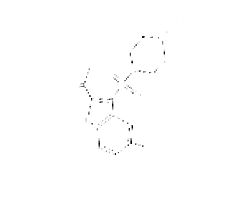 CC(=O)c1[nH]c2ccc(Cl)cc2c1S(=O)(=O)N1CC[S+]([O-])CC1